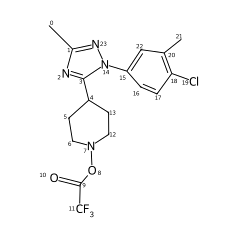 Cc1nc(C2CCN(OC(=O)C(F)(F)F)CC2)n(-c2ccc(Cl)c(C)c2)n1